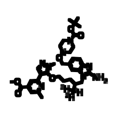 [2H]C([2H])([2H])C(CCCOc1c(-c2cc(C(=O)OC)cc(C)n2)cnn1C)Cn1c(N)nc2ccc(CON3CCN(C(=O)OC(C)(C)C)CC3)cc21